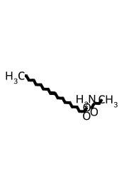 CCCCCCCCC=CCCCCCCCC(=O)OC(=O)C(N)CC